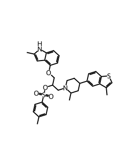 Cc1ccc(S(=O)(=O)OC(COc2cccc3[nH]c(C)cc23)CN2CCC(c3ccc4scc(C)c4c3)CC2C)cc1